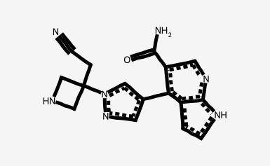 N#CCC1(n2cc(-c3c(C(N)=O)cnc4[nH]ccc34)cn2)CNC1